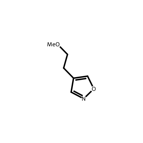 [CH2]OCCc1cnoc1